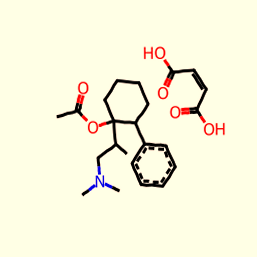 CC(=O)OC1(C(C)CN(C)C)CCCCC1c1ccccc1.O=C(O)/C=C\C(=O)O